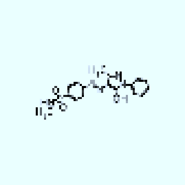 CNS(=O)(=O)c1ccc(N=Nc2c(C)nn(-c3ccccc3)c2O)cc1